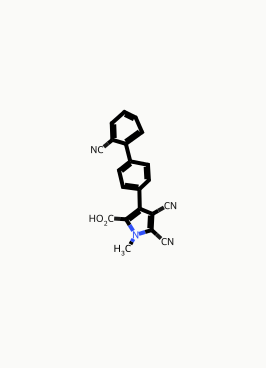 Cn1c(C#N)c(C#N)c(-c2ccc(-c3ccccc3C#N)cc2)c1C(=O)O